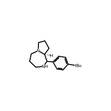 CC(C)(C)c1ccc(C2NCCCN3CCC[C@@H]23)cc1